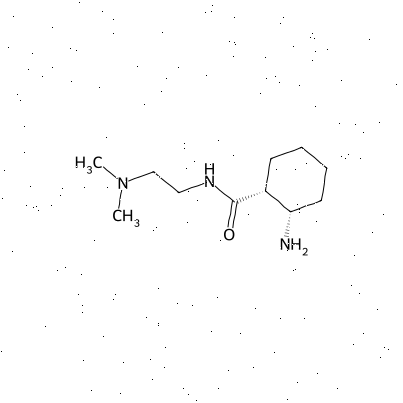 CN(C)CCNC(=O)[C@@H]1CCCC[C@@H]1N